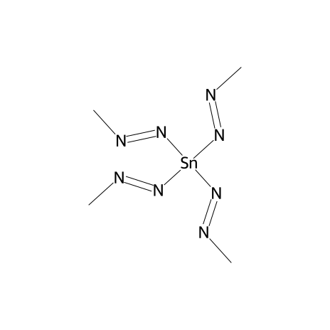 CN=[N][Sn]([N]=NC)([N]=NC)[N]=NC